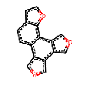 c1cc2ccc3c4cocc4c4cocc4c3c2o1